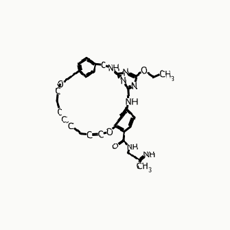 CCOc1nc2nc(n1)Nc1ccc(C(=O)NCC(C)=N)c(c1)OCCCCCCCCOc1ccc(cc1)CN2